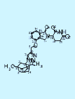 C[C@@]12CC3CC(n4cc(COc5cccc6c5CN(C5CCC(=O)NC5=O)C6=O)nn4)(C1)[C@](C)(C3)C2